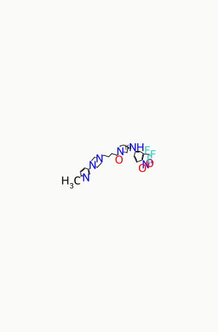 Cc1ccc(N2CCN(CCCC(=O)N3CC[C@H](Nc4ccc([N+](=O)[O-])c(C(F)(F)F)c4)C3)CC2)cn1